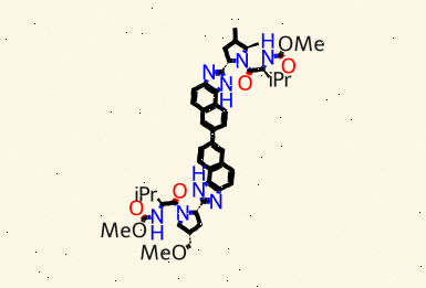 COC[C@H]1C[C@@H](c2nc3ccc4cc(-c5ccc6c(ccc7nc([C@@H]8CC(C)[C@@H](C)N8C(=O)[C@@H](NC(=O)OC)C(C)C)[nH]c76)c5)ccc4c3[nH]2)N(C(=O)[C@@H](NC(=O)OC)C(C)C)C1